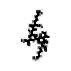 CCC(C)[C@H](NC(=O)[C@H](CCC(N)=O)NC(=O)[C@H](C)NC(=O)C(N)CCCCN)C(=O)N[C@H]([C]=O)CCCCN